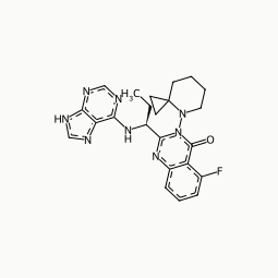 CC[C@H](Nc1ncnc2[nH]cnc12)c1nc2cccc(F)c2c(=O)n1N1CCCCC12CC2